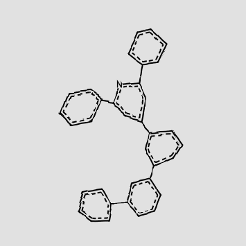 c1ccc(-c2cccc(-c3cccc(-c4cc(-c5ccccc5)nc(-c5ccccc5)c4)c3)c2)cc1